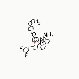 COc1ccc(COc2ccc(-c3c(Cc4cc(F)cc(F)c4)cccc3C(c3ccccc3)(c3ccccc3)n3nc(N)c4ccccc43)cc2)cc1